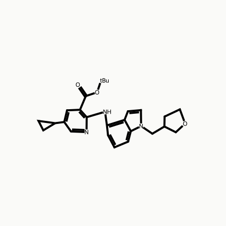 CC(C)(C)OC(=O)c1cc(C2CC2)cnc1Nc1cccc2c1ccn2CC1CCOC1